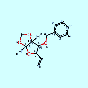 C=C[C@H]1O[C@@H]2OCO[C@@H]2[C@H]1OCc1ccccc1